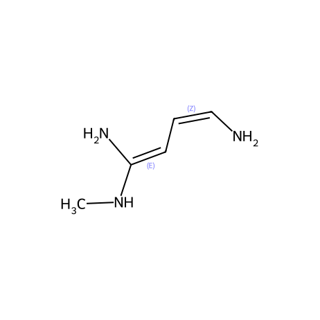 CN/C(N)=C/C=C\N